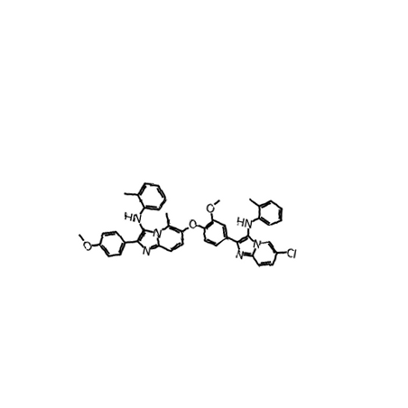 COc1ccc(-c2nc3ccc(Oc4ccc(-c5nc6ccc(Cl)cn6c5Nc5ccccc5C)cc4OC)c(C)n3c2Nc2ccccc2C)cc1